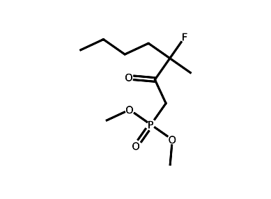 CCCCC(C)(F)C(=O)CP(=O)(OC)OC